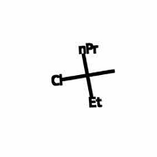 [CH2]CC(C)(Cl)CCC